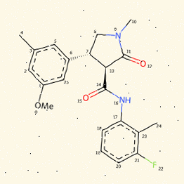 COc1cc(C)cc([C@@H]2CN(C)C(=O)[C@H]2C(=O)Nc2cccc(F)c2C)c1